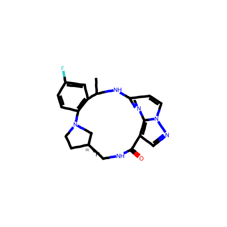 CC1Nc2ccn3ncc(c3n2)C(=O)NC[C@@H]2CCN(C2)c2ccc(F)cc21